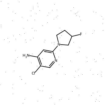 Nc1cc(N2CCC(F)C2)ncc1Cl